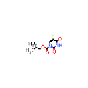 CC(C)COC(=O)n1cc(F)c(=O)[nH]c1=O